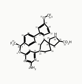 Nc1nc(O[C@H](c2ccc(-c3cccc(OC(F)(F)F)c3)cc2)C(F)(F)F)cc(N2CCC3(CC2)CNC(C(=O)O)C3)n1